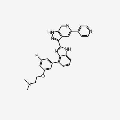 CN(C)CCOc1cc(F)cc(-c2cccc3[nH]c(-c4n[nH]c5cnc(-c6ccncc6)cc45)nc23)c1